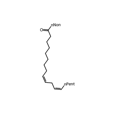 CCCCC/C=C\C/C=C\CCCCCCCC(=O)CCCCCCCCC